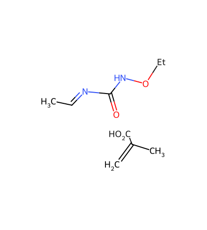 C=C(C)C(=O)O.CC=NC(=O)NOCC